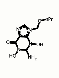 CCCOCn1cnc2c1N(O)C(N)N(O)C2=O